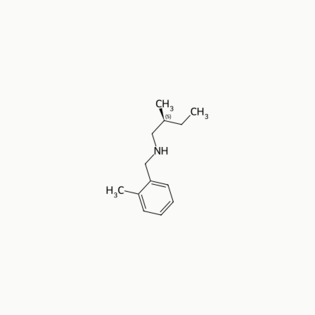 CC[C@H](C)CNCc1ccccc1C